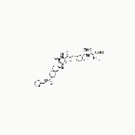 N/C(C=O)=C(/C=O)N1CCc2ccc(CNC(=O)c3nc4sc5c(c4c(=O)[nH]3)CCC3(CCN(C(=O)OCc4ccccc4)CC3)C5)cc2C1